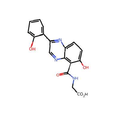 O=C(O)CNC(=O)c1c(O)ccc2nc(-c3ccccc3O)cnc12